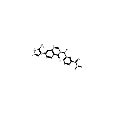 C[C@H](c1cccc(C(=O)N(C)C)c1)n1cnc2cc(-c3cn[nH]c3C(F)(F)F)ccc2c1=O